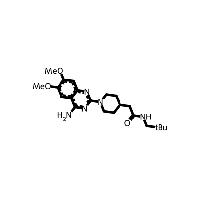 COc1cc2nc(N3CCC(CC(=O)NCC(C)(C)C)CC3)nc(N)c2cc1OC